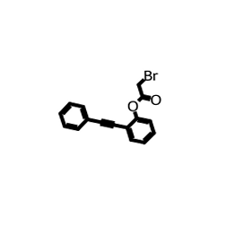 O=C(CBr)Oc1ccccc1C#Cc1ccccc1